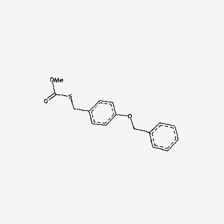 COC(=O)SCc1ccc(OCc2ccccc2)cc1